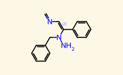 C=N/C=C(/c1ccccc1)N(N)Cc1ccccc1